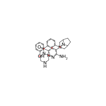 Nc1nnc(-c2ccccc2O)cc1N1CC2CCC(C1)N2Cc1cccc(C(=O)N2CCNCC2)c1